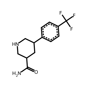 NC(=O)C1CNCC(c2ccc(C(F)(F)F)cc2)C1